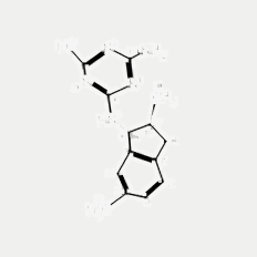 CCc1nc(N)nc(N[C@H]2c3cc(C)ccc3C[C@@H]2C)n1